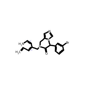 C=C/C=C(\C=C/N)CN1Cc2cncn2C(c2cccc(Br)c2)C1=O